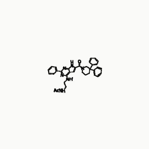 CC(=O)NCCNc1nc(-c2ccccc2)nc2[nH]c(C(=O)N3CCCC(c4ccccc4)(c4ccccc4)C3)cc12